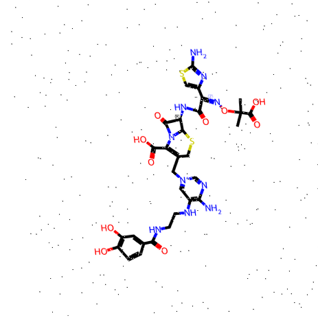 CC(C)(O/N=C(\C(=O)N[C@@H]1C(=O)N2C(C(=O)O)=C(C[n+]3cnc(N)c(NCCNC(=O)c4ccc(O)c(O)c4)c3)CSC12)c1csc(N)n1)C(=O)O